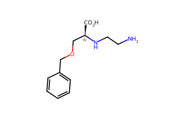 NCCN[C@@H](COCc1ccccc1)C(=O)O